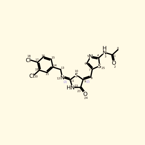 CC(=O)Nc1ncc(/C=C2\S/C(=N\Cc3ccc(Cl)c(Cl)c3)NC2=O)s1